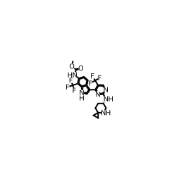 COC(=O)Nc1ccc2c(-c3nc(N[C@H]4CCC5(CC5)NC4)ncc3C(F)(F)F)c[nH]c2c1C(F)(F)F